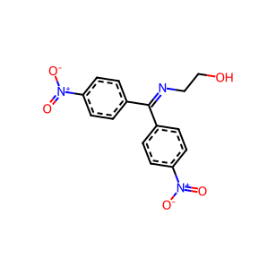 O=[N+]([O-])c1ccc(C(=NCCO)c2ccc([N+](=O)[O-])cc2)cc1